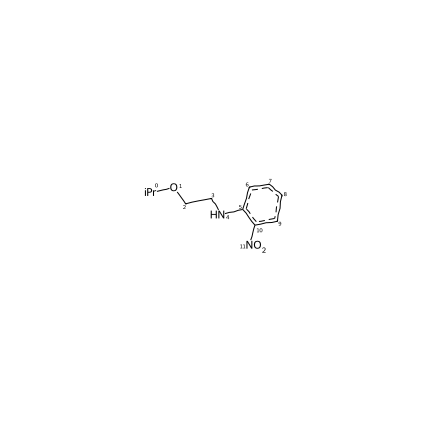 CC(C)OCCNc1ccccc1[N+](=O)[O-]